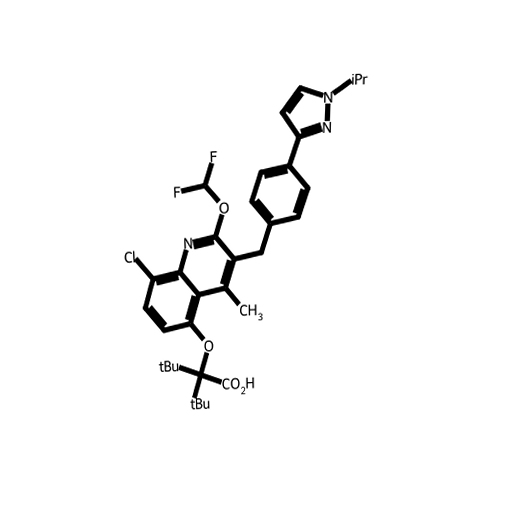 Cc1c(Cc2ccc(-c3ccn(C(C)C)n3)cc2)c(OC(F)F)nc2c(Cl)ccc(OC(C(=O)O)(C(C)(C)C)C(C)(C)C)c12